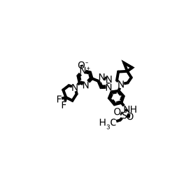 CCS(=O)(=O)Nc1ccc(-n2cc(-c3c[n+]([O-])cc(N4CCC(F)(F)CC4)n3)nn2)c(N2CCC3(CC2)CC3)c1